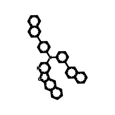 c1cc(-c2ccc3ccccc3c2)cc(N(c2ccc(-c3ccc4ccccc4c3)cc2)c2cnc3oc4cc5ccccc5cc4c3c2)c1